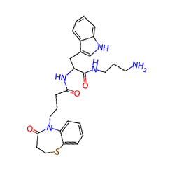 NCCCNC(=O)C(Cc1c[nH]c2ccccc12)NC(=O)CCCN1C(=O)CCSc2ccccc21